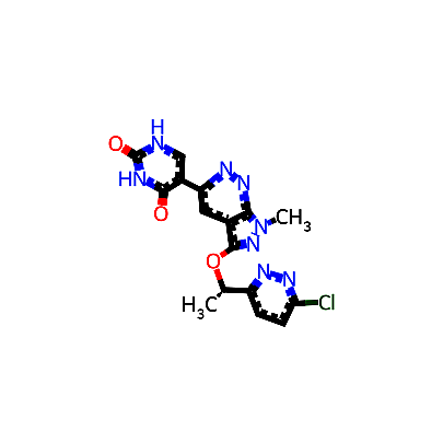 C[C@H](Oc1nn(C)c2nnc(-c3c[nH]c(=O)[nH]c3=O)cc12)c1ccc(Cl)nn1